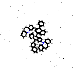 C1=CC2=C(CC1)N(c1ccc3c(-c4ccc5ccccc5c4)c4cc(N5c6ccccc6CCc6ccccc65)ccc4c(-c4ccc(-c5ccccc5)c5ccccc45)c3c1)c1ccccc1CC2